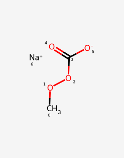 COOC(=O)[O-].[Na+]